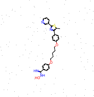 Cc1sc(-c2cccnc2)nc1-c1ccc(OCCCCCOc2ccc(C(=N)NO)cc2)cc1